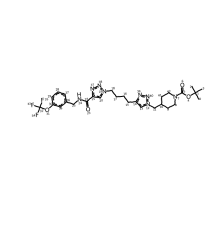 CC(C)(C)OC(=O)N1CCC(Cn2cc(CCCCn3cc(C(=O)NCc4cccc(OC(F)(F)F)c4)nn3)nn2)CC1